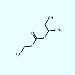 C[C@H](CO)OC(=O)OCC(F)(F)F